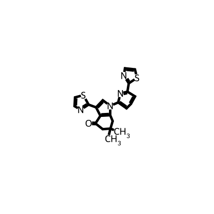 CC1(C)CC(=O)c2c(-c3nccs3)cn(-c3cccc(-c4nccs4)n3)c2C1